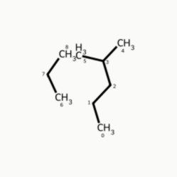 CCCC(C)C.C[CH]C